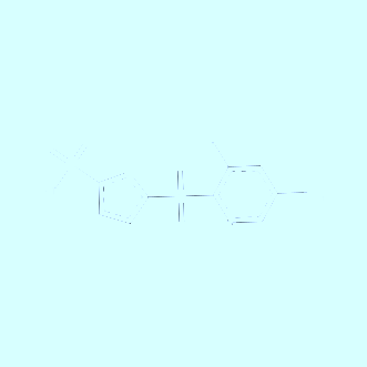 O=S(=O)(Cl)c1ccc(S(=O)(=O)c2ncc(C(F)(F)F)cc2Cl)s1